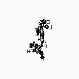 COc1ncc(-c2nc3c(n2CCCn2cc(CNC(=O)CCCNC(=O)C[C@H](NC(=O)[C@@H]4C[C@@H](O)CN4C(=O)[C@@H](NC(=O)C4(F)CC4)C(C)(C)C)c4ccc(-c5scnc5C)cc4)nn2)[C@@H](c2ccc(Cl)cc2)N(c2cc(Cl)cn(C)c2=O)C3=O)c(OC)n1